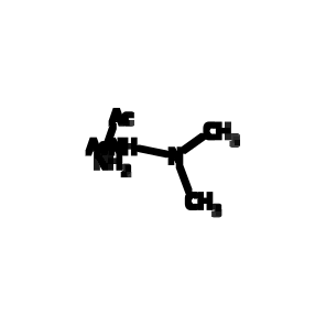 CC(=O)NN(C)C.CC(N)=O